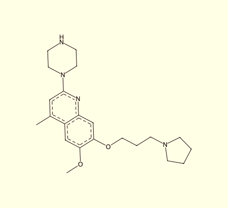 COc1cc2c(C)cc(N3CCNCC3)nc2cc1OCCCN1CCCC1